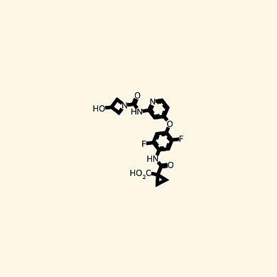 O=C(Nc1cc(Oc2cc(F)c(NC(=O)C3(C(=O)O)CC3)cc2F)ccn1)N1CC(O)C1